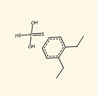 CCc1ccccc1CC.OP(O)(=S)S